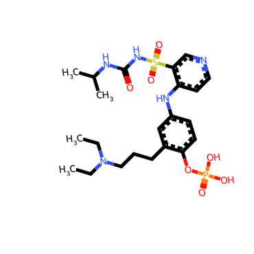 CCN(CC)CCCc1cc(Nc2ccncc2S(=O)(=O)NC(=O)NC(C)C)ccc1OP(=O)(O)O